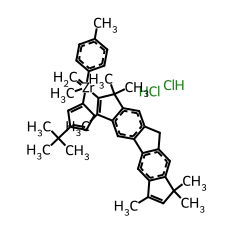 Cl.Cl.[CH2]=[Zr]([CH3])([C]1=CC(C(C)(C)C)=CC1)([C]1=C(C)c2cc3c(cc2C1(C)C)Cc1cc2c(cc1-3)C(C)=CC2(C)C)[c]1ccc(C)cc1